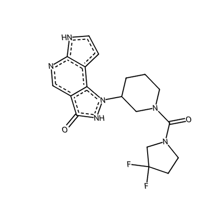 O=C(N1CCCC(n2[nH]c(=O)c3cnc4[nH]ccc4c32)C1)N1CCC(F)(F)C1